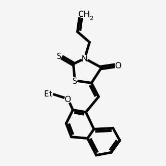 C=CCN1C(=O)C(=Cc2c(OCC)ccc3ccccc23)SC1=S